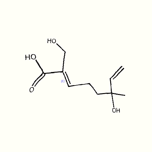 C=CC(C)(O)CC/C=C(\CO)C(=O)O